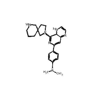 CN(C)c1ccc(C2=CC3=NC=CNC3C(N3CCC4(CCCNC4)C3)=N2)cc1